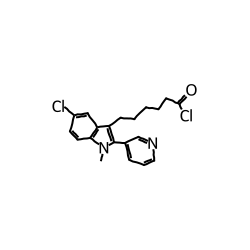 Cn1c(-c2cccnc2)c(CCCCCC(=O)Cl)c2cc(Cl)ccc21